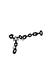 c1ccc(-c2ccc(-c3ccc(-c4ccc5c(c4)oc4cc(-c6nc(-c7ccccc7)nc(-c7ccc8c(c7)oc7ccccc78)n6)ccc45)cc3)cc2)cc1